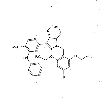 COc1cnc(-c2nn(Cc3c(OCC(F)(F)F)cc(Br)cc3OCC(F)(F)F)c3ccccc23)nc1Nc1ccncc1